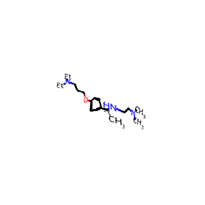 CCN(CC)CCCOc1ccc([C@@H](C)NCCN(C)C)cc1